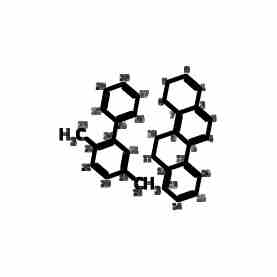 C1=Cc2ccc3c(c2CC1)CCc1ccccc1-3.Cc1ccc(C)c(-c2ccccc2)c1